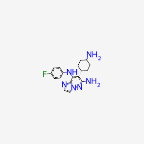 Nc1nn2ccnc2c(Nc2ccc(F)cc2)c1[C@H]1CC[C@H](N)CC1